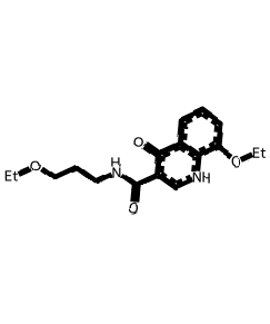 CCOCCCNC(=O)c1c[nH]c2c(OCC)cccc2c1=O